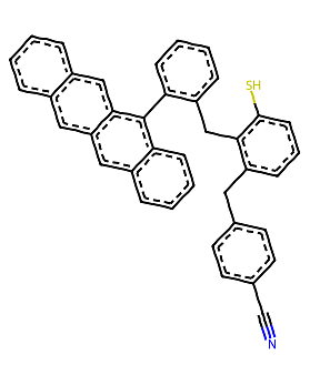 N#Cc1ccc(Cc2cccc(S)c2Cc2ccccc2-c2c3ccccc3cc3cc4ccccc4cc23)cc1